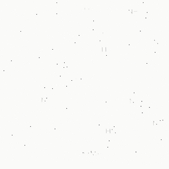 COc1cc(N2CCOCC2)c(Cl)cc1Nc1nccc(-c2cnc3c(c2)C(C)(CO)CN3)n1